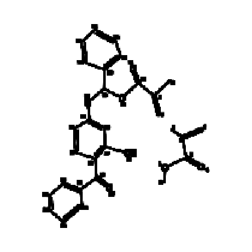 C=C(C)C(=O)OC.C=C(C)C(=O)OC(Oc1ccc(C(=O)c2ccccc2)c(O)c1)c1ccccc1